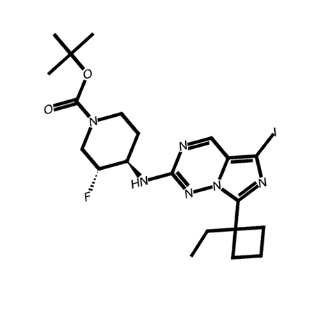 CCC1(c2nc(I)c3cnc(N[C@@H]4CCN(C(=O)OC(C)(C)C)C[C@H]4F)nn23)CCC1